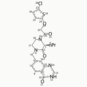 CCC[C@H]1C(=O)N(Cc2ccc3c(=O)[nH]cnc3c2)CCN1C(=O)COc1ccc(Cl)s1